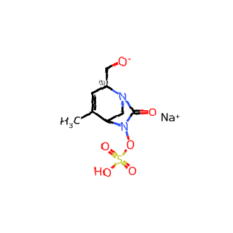 CC1=C[C@@H](C[O-])N2CC1N(OS(=O)(=O)O)C2=O.[Na+]